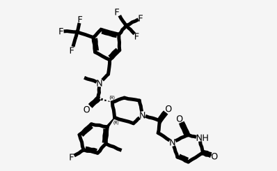 Cc1cc(F)ccc1[C@@H]1CN(C(=O)Cn2ccc(=O)[nH]c2=O)CC[C@H]1C(=O)N(C)Cc1cc(C(F)(F)F)cc(C(F)(F)F)c1